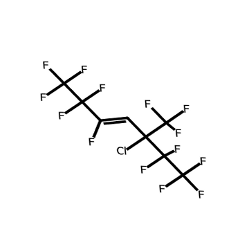 FC(=CC(Cl)(C(F)(F)F)C(F)(F)C(F)(F)F)C(F)(F)C(F)(F)F